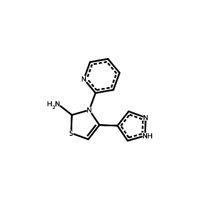 NC1SC=C(c2cn[nH]c2)N1c1ccccn1